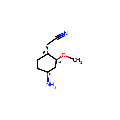 CO[C@H]1C[C@@H](N)CC[C@@H]1CC#N